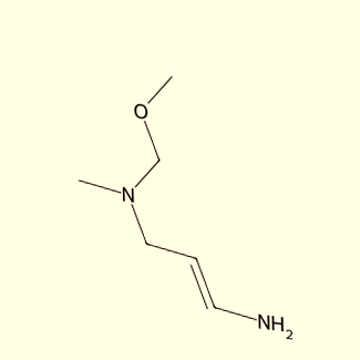 COCN(C)C/C=C/N